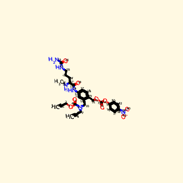 C#CCOC(=O)N(CC#C)Cc1cc(NC(=O)C(CCCNC(N)=O)NC)ccc1COC(=O)Oc1ccc([N+](=O)[O-])cc1